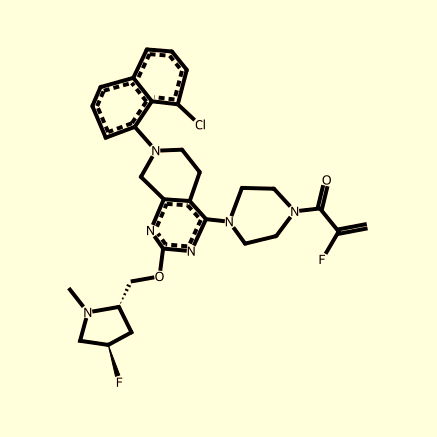 C=C(F)C(=O)N1CCN(c2nc(OC[C@@H]3C[C@@H](F)CN3C)nc3c2CCN(c2cccc4cccc(Cl)c24)C3)CC1